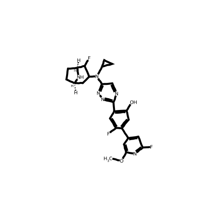 COc1cc(-c2cc(O)c(-c3ncc(N(C4CC4)C4C[C@H]5CC[C@H](N5)C4F)nn3)cc2F)cc(F)n1